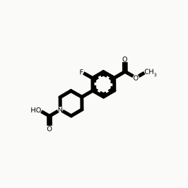 COC(=O)c1ccc(C2CCN(C(=O)O)CC2)c(F)c1